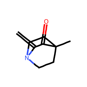 C=C1C(=O)C2(C)CCN1CC2